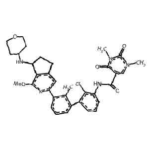 COc1nc(-c2cccc(-c3cccc(NC(=O)c4cn(C)c(=O)n(C)c4=O)c3Cl)c2C)cc2c1C(NC1CCOCC1)CC2